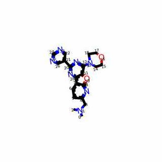 CN(C)Cc1ccc2c(n1)oc1c(N3CCOCC3)nc(-c3cncnc3)nc12